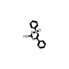 O=S1(c2ccccc2)=NC(O)=NC(c2ccccc2)=C1